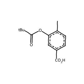 Cc1ccc(C(=O)O)cc1OC(=O)C(C)(C)C